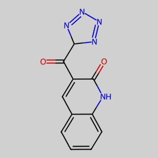 O=C(c1cc2ccccc2[nH]c1=O)C1N=NN=N1